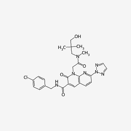 CN(CC(C)(C)CO)C(=O)Cn1c(=O)c(C(=O)NCc2ccc(Cl)cc2)cc2ccc(-n3nccn3)nc21